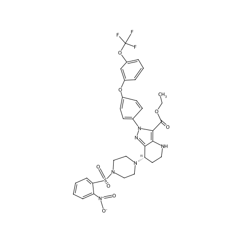 CCOC(=O)c1c2c(nn1-c1ccc(Oc3cccc(OC(F)(F)F)c3)cc1)[C@@H](N1CCN(S(=O)(=O)c3ccccc3[N+](=O)[O-])CC1)CCN2